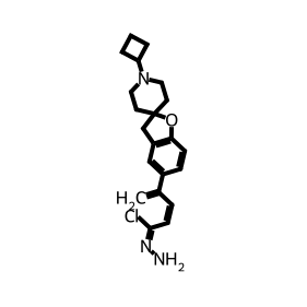 C=C(/C=C\C(Cl)=N/N)c1ccc2c(c1)CC1(CCN(C3CCC3)CC1)O2